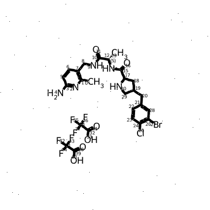 Cc1nc(N)ccc1CNC(=O)[C@H](C)NC(=O)C1CC(Cc2ccc(Cl)c(Br)c2)CN1.O=C(O)C(F)(F)F.O=C(O)C(F)(F)F